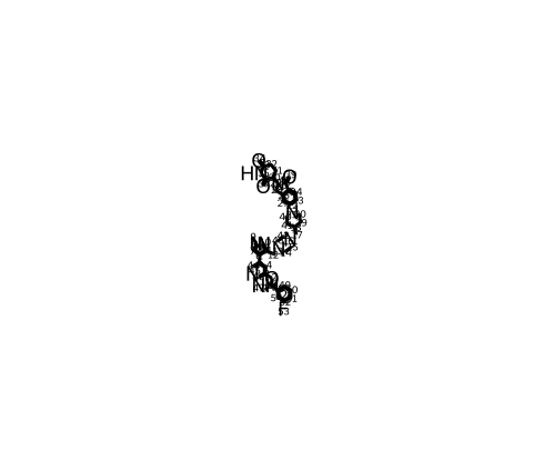 C[C@@H](Oc1cc(-c2cn(C)nc2CN2CCN(CC3CCN(c4ccc5c(c4)CN(C4CCC(=O)NC4=O)C5=O)CC3)CC2)cnc1N)c1cccc(F)c1